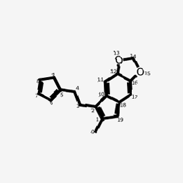 CC1=C(CCC2=CC=CC2)C2=CC3OCOC3=CC2=C1